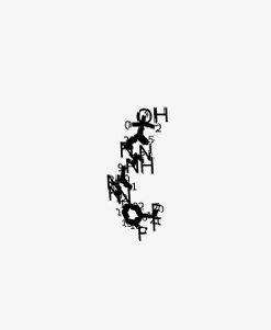 CC(C)(O)c1cnc(NCc2cn(-c3ccc(F)c(C(F)F)c3)nn2)nc1